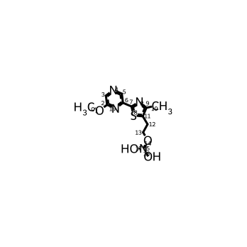 COc1cncc(-c2nc(C)c(CCON(O)O)s2)n1